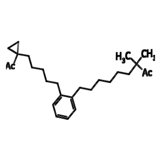 CC(=O)C(C)(C)CCCCCCc1ccccc1CCCCCC1(C(C)=O)CC1